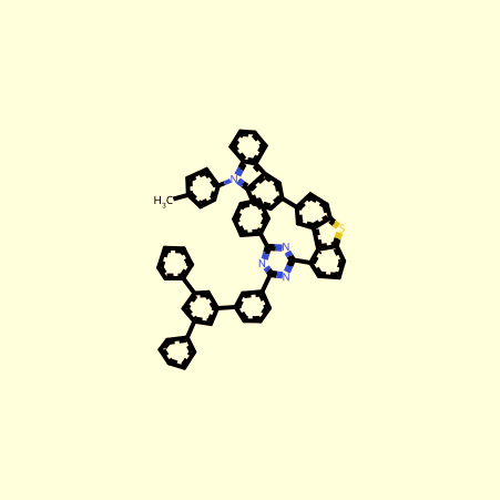 Cc1ccc(-n2c3ccccc3c3cc(-c4ccc5sc6cccc(-c7nc(-c8ccccc8)nc(-c8cccc(-c9cc(-c%10ccccc%10)cc(-c%10ccccc%10)c9)c8)n7)c6c5c4)ccc32)cc1